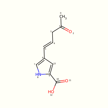 CC(=O)CC=Cc1c[nH]c(C(=O)O)c1